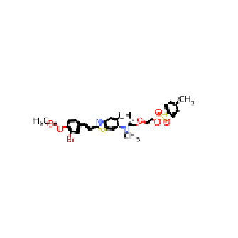 COCOc1ccc(C=Cc2nc3cc(C)c(N(C)CCOCCOS(=O)(=O)c4ccc(C)cc4)cc3s2)cc1Br